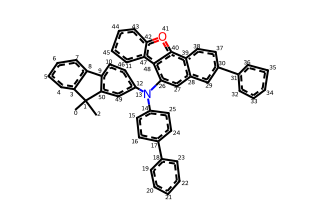 CC1(C)c2ccccc2-c2ccc(N(c3ccc(-c4ccccc4)cc3)c3cc4cc(-c5ccccc5)ccc4c4oc5ccccc5c34)cc21